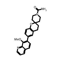 COc1c(-c2ccc3c(c2)CCC2(CCN(C(N)=O)CC2)O3)ccc2cccnc12